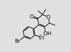 CCc1cc(Br)ccc1C1=C(O)C(C)OC(C)(C)C1=O